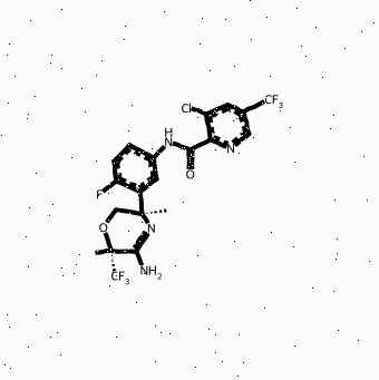 C[C@@]1(c2cc(NC(=O)c3ncc(C(F)(F)F)cc3Cl)ccc2F)CO[C@@](C)(C(F)(F)F)C(N)=N1